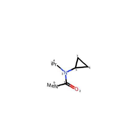 CNC(=O)N(C(C)C)C1CC1